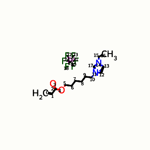 C=CC(=O)OCCCCCC[n+]1ccn(CC)c1.F[P-](F)(F)(F)(F)F